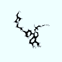 COCC(F)(F)CN1CCc2c(ccc(N)c2C=N)C1c1ccc(OCCN2CC(CF)C2)cn1